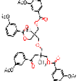 CCC(COCC(C)(COC(=O)c1cccc(OC(C)=O)c1)CC(=O)c1cccc(OC(C)=O)c1)(COC(=O)c1cccc(OC(C)=O)c1)COC(=O)c1cccc(OC(C)=O)c1